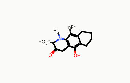 CCCc1c2c(c(O)c3c1N(CC)C(C(=O)O)C(=O)C3)CCCC2